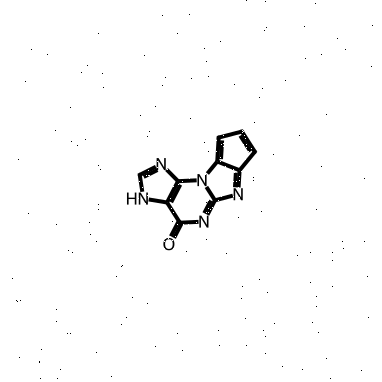 O=c1nc2nc3c(n2c2nc[nH]c12)=CC=C3